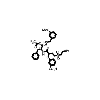 COc1cccc(CNC[C@@H](OC(=O)C(F)(F)F)[C@H](Cc2ccccc2)NC(=O)C(CCS(=O)(=O)CCC(C)C)Oc2cccc(C(=O)O)c2)c1